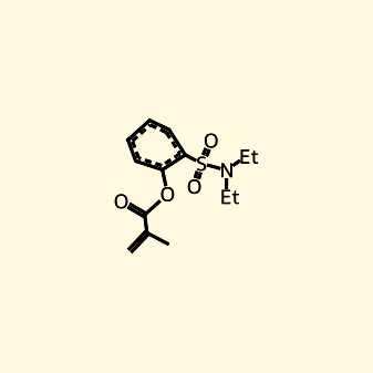 C=C(C)C(=O)Oc1ccccc1S(=O)(=O)N(CC)CC